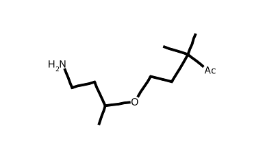 CC(=O)C(C)(C)CCOC(C)CCN